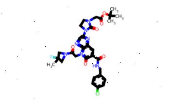 CC1(F)CN(C(=O)Cn2c(=O)c(C(=O)NCc3ccc(Cl)cc3)cc3nc(N4CCN(CC(=O)OC(C)(C)C)C4=O)cnc32)C1